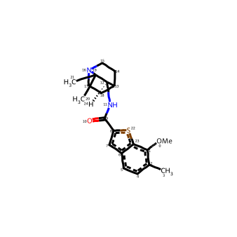 COc1c(C)ccc2cc(C(=O)N[C@@H]3C4CCN(CC4)C3(C)C)sc12